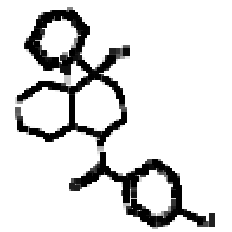 O=C(c1ccc(Cl)cc1)N1CC[C@@](O)(c2ccccc2)[C@@H]2CCCCC21